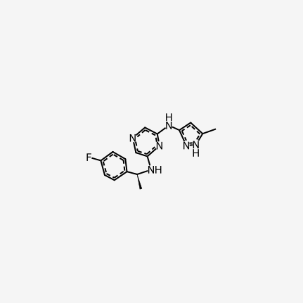 Cc1cc(Nc2cncc(N[C@@H](C)c3ccc(F)cc3)n2)n[nH]1